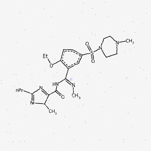 CCCC1=NC(C)C(C(=O)N/C(=N\C)c2cc(S(=O)(=O)N3CCN(C)CC3)ccc2OCC)=N1